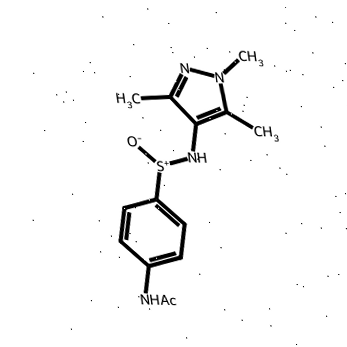 CC(=O)Nc1ccc([S+]([O-])Nc2c(C)nn(C)c2C)cc1